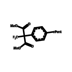 CCCCCc1ccc(C(C(=O)OC)(C(=O)OC)C(F)(F)F)cc1